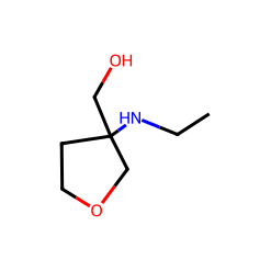 CCNC1(CO)CCOC1